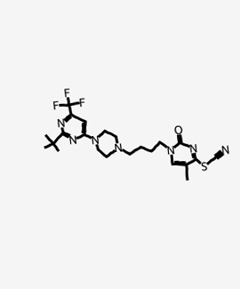 Cc1cn(CCCCN2CCN(c3cc(C(F)(F)F)nc(C(C)(C)C)n3)CC2)c(=O)nc1SC#N